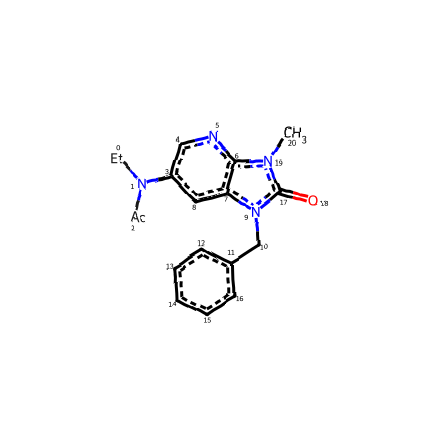 CCN(C(C)=O)c1cnc2c(c1)n(Cc1ccccc1)c(=O)n2C